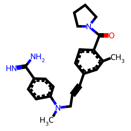 Cc1cc(C#CCN(C)c2ccc(C(=N)N)cc2)ccc1C(=O)N1CCCC1